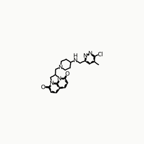 Cc1cc(CNC2CCN(CC3Cn4c(=O)ccc5ccc(=O)n3c54)CC2)nnc1Cl